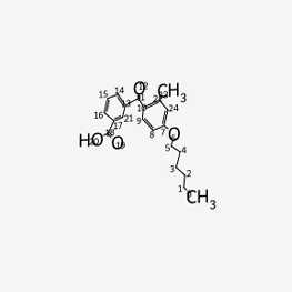 CCCCCCOc1ccc(C(=O)c2cccc(C(=O)O)c2)c(C)c1